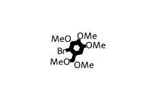 COc1cc(C(OC)OC)c(Br)c(OC)c1OC